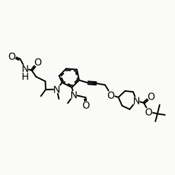 CC(CCC(=O)NC=O)N(C)c1cccc(C#CCOC2CCN(C(=O)OC(C)(C)C)CC2)c1N(C)C=O